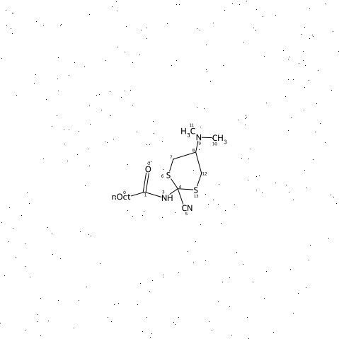 CCCCCCCCC(=O)NC1(C#N)SCC(N(C)C)CS1